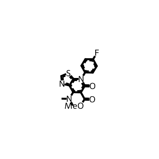 COC(=O)c1c(N(C)C)c2ncsc2n(-c2ccc(F)cc2)c1=O